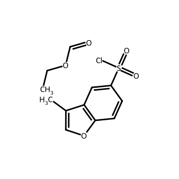 CCOC=O.Cc1coc2ccc(S(=O)(=O)Cl)cc12